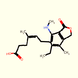 CCc1c(C)c2c(c(NC)c1CC=C(C)CCC(=O)O)C(=O)OC2